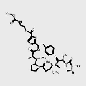 CC[C@H](C)[C@@H]([C@@H](CC(=O)N1CCC[C@H]1[C@H](OC)[C@@H](C)C(=O)N[C@@H](Cc1ccccc1)c1nc(C(=O)OCCNC(=O)OC(C)(C)C)cs1)OC)N(C)C(=O)[C@@H](NC(=O)[C@H](C(C)C)N(C)C)C(C)C